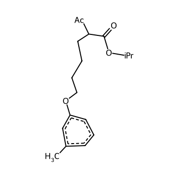 CC(=O)C(CCCCOc1cccc(C)c1)C(=O)OC(C)C